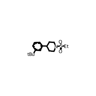 CCS(=O)(=O)N1CCC(c2cccc(C(C)(C)C)c2)CC1